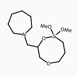 CO[Si]1(OC)CCCOCC(CN2CCCCCC2)O1